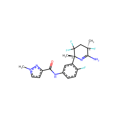 Cn1ccc(C(=O)Nc2ccc(F)c([C@@]3(C)N=C(N)[C@](C)(F)CC3(F)F)c2)n1